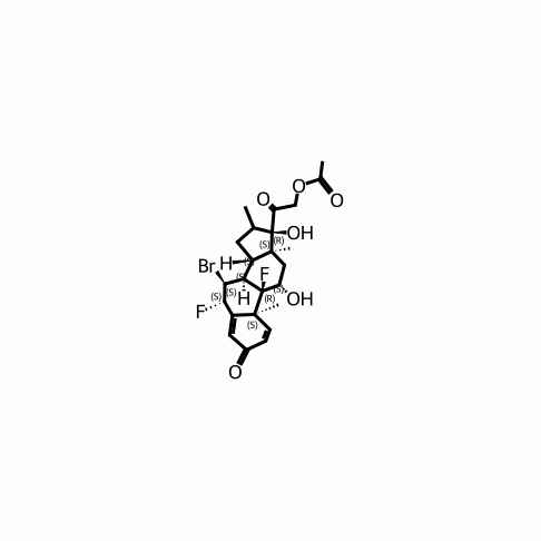 CC(=O)OCC(=O)[C@@]1(O)C(C)C[C@H]2[C@@H]3[C@H](Br)[C@@H](F)C4=CC(=O)C=C[C@]4(C)[C@@]3(F)[C@@H](O)C[C@@]21C